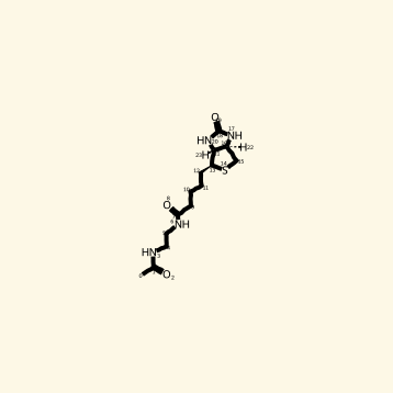 CC(=O)NCCNC(=O)CCCC[C@@H]1SC[C@@H]2NC(=O)N[C@@H]21